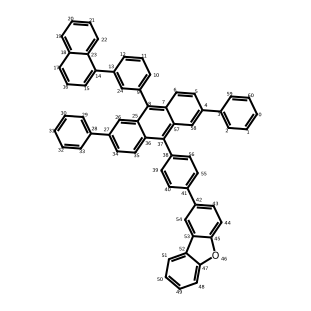 c1ccc(-c2ccc3c(-c4cccc(-c5cccc6ccccc56)c4)c4cc(-c5ccccc5)ccc4c(-c4ccc(-c5ccc6oc7ccccc7c6c5)cc4)c3c2)cc1